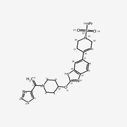 C=C(c1csnn1)N1CCC(Oc2nc3ccc(C4=CCN(S(=O)(=O)CCC)CC4)cc3s2)CC1